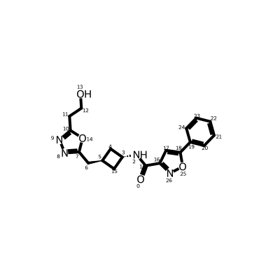 O=C(N[C@H]1C[C@H](Cc2nnc(CCO)o2)C1)c1cc(-c2ccccc2)on1